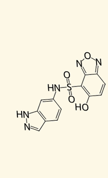 O=S(=O)(Nc1ccc2cn[nH]c2c1)c1c(O)ccc2nonc12